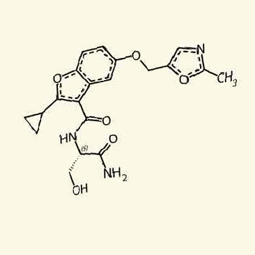 Cc1ncc(COc2ccc3oc(C4CC4)c(C(=O)N[C@@H](CO)C(N)=O)c3c2)o1